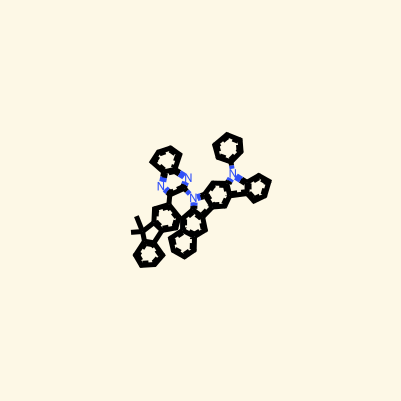 CC1(C)c2ccccc2-c2ccc(-c3nc4ccccc4nc3-n3c4cc5ccccc5cc4c4cc5c6ccccc6n(-c6ccccc6)c5cc43)cc21